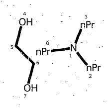 CCCN(CCC)CCC.OCCO